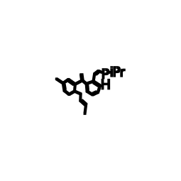 C=C(C1=CC(C)=CCC1CC=CC)c1ccccc1/C=C\PC(C)C